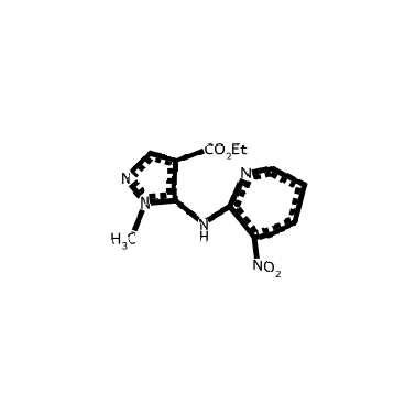 CCOC(=O)c1cnn(C)c1Nc1ncccc1[N+](=O)[O-]